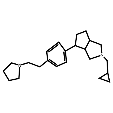 c1cc(C2CCC3CN(CC4CC4)CC32)ccc1CCN1CCCC1